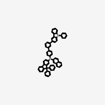 c1ccc(-n2c3ccccc3c3cc(-c4cccc(-c5ccc(N(c6ccc7c(c6)C(c6ccccc6)(c6ccccc6)c6ccccc6-7)c6ccc7ccccc7c6)cc5)c4)ccc32)cc1